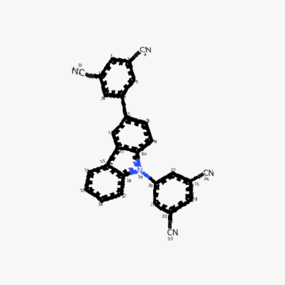 N#Cc1cc(C#N)cc(-c2ccc3c(c2)c2ccccc2n3-c2cc(C#N)cc(C#N)c2)c1